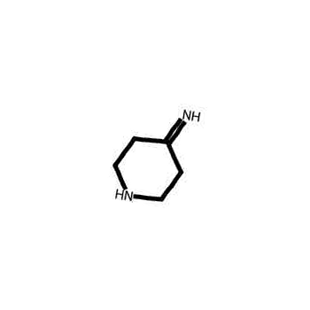 N=C1CCNCC1